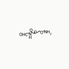 NCOCCOCC(=O)NCC=O